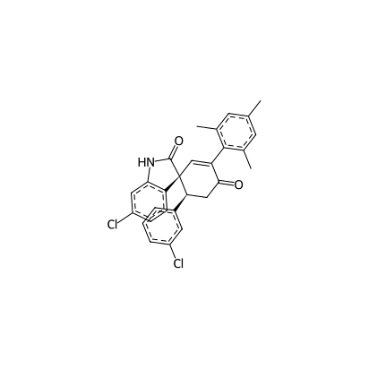 Cc1cc(C)c(C2=C[C@@]3(C(=O)Nc4cc(Cl)ccc43)[C@H](c3cccc(Cl)c3)CC2=O)c(C)c1